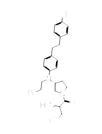 CC(C)CCN(c1ccc(CCc2ccc(Cl)cc2)cc1)[C@H]1CCN(C(=O)C(N)CC(C)C)C1